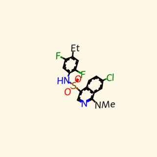 CCc1cc(F)c(NS(=O)(=O)c2cnc(NC)c3cc(Cl)ccc23)cc1F